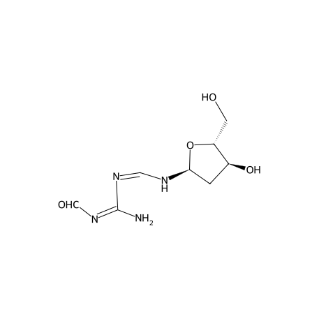 NC(/N=C\N[C@@H]1C[C@H](O)[C@@H](CO)O1)=N/C=O